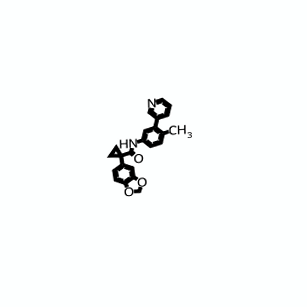 Cc1ccc(NC(=O)C2(c3ccc4c(c3)OCO4)CC2)cc1-c1cccnc1